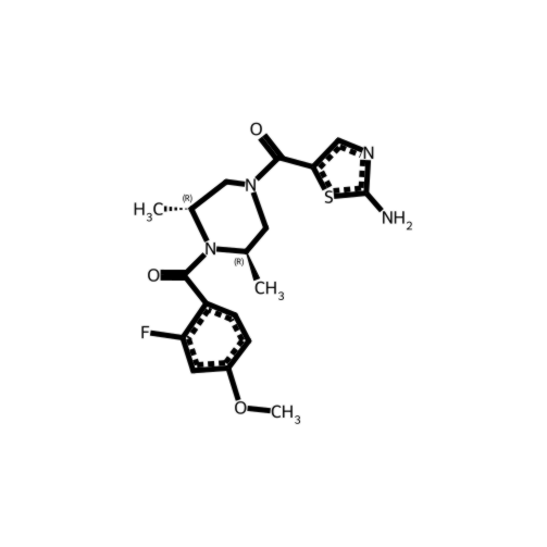 COc1ccc(C(=O)N2[C@H](C)CN(C(=O)c3cnc(N)s3)C[C@H]2C)c(F)c1